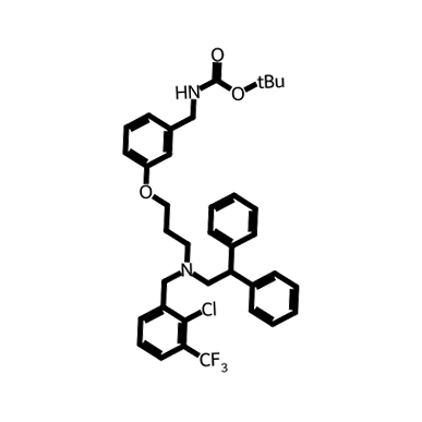 CC(C)(C)OC(=O)NCc1cccc(OCCCN(Cc2cccc(C(F)(F)F)c2Cl)CC(c2ccccc2)c2ccccc2)c1